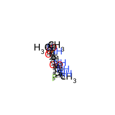 CNc1cc(F)cc2cc(C(=O)Nc3ccc(C(=O)NS(=O)(=O)N(C)C)cc3)c(=O)[nH]c12